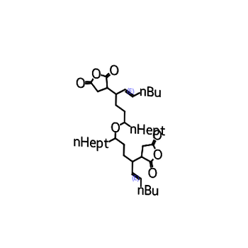 CCCC/C=C/C(CCC(CCCCCCC)OC(CCCCCCC)CCC(/C=C/CCCC)C1CC(=O)OC1=O)C1CC(=O)OC1=O